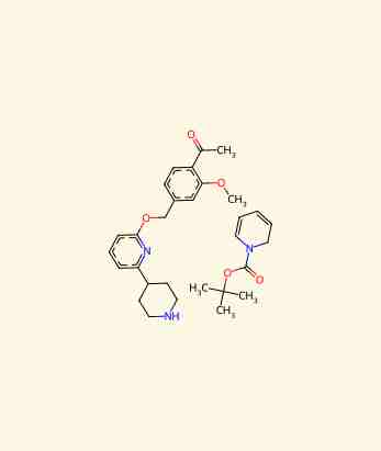 CC(C)(C)OC(=O)N1C=CC=CC1.COc1cc(COc2cccc(C3CCNCC3)n2)ccc1C(C)=O